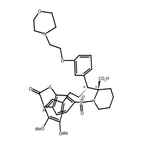 COc1ccc(CC[C@H](c2cccc(OCCN3CCOCC3)c2)[C@]2(C(=O)O)CCCCN2S(=O)(=O)c2ccc3[nH]c(=O)sc3c2)cc1OC